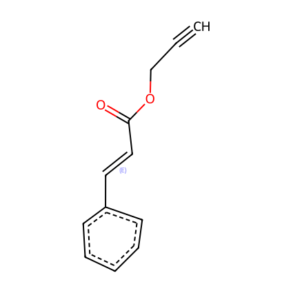 C#CCOC(=O)/C=C/c1ccccc1